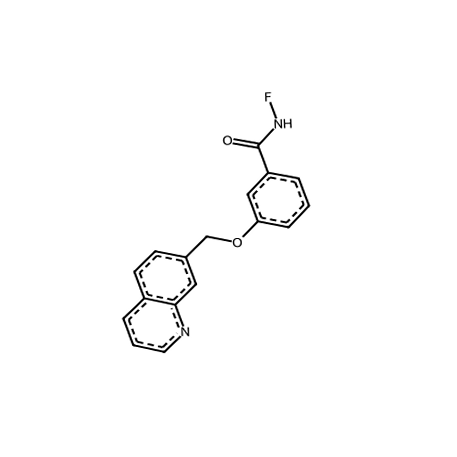 O=C(NF)c1cccc(OCc2ccc3cccnc3c2)c1